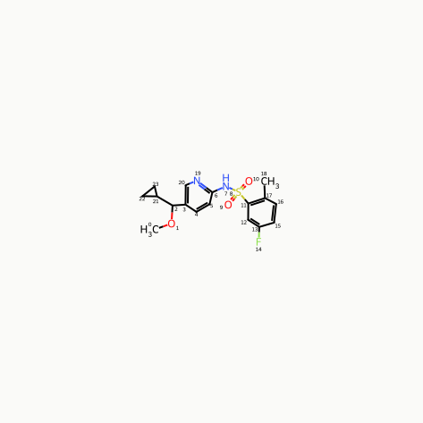 COC(c1ccc(NS(=O)(=O)c2cc(F)ccc2C)nc1)C1CC1